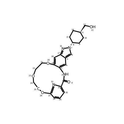 O=C1Nc2cc3cn([C@H]4CC[C@H](CO)CC4)nc3cc2OCCOCCOc2cccc1n2